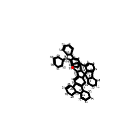 C1=CC2C3=CC(C4=CCCC5=C4C4(C6CC7=C(C=C6C6C=CC=CC64)C4C=CCCC4C4C=CCCC74)C4CCCCC54)CC=C3N(C3CC=CCC3)C2C=C1